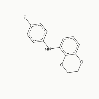 Fc1ccc(Nc2[c]ccc3c2OCCO3)cc1